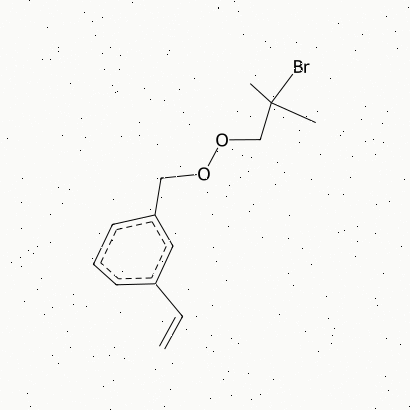 C=Cc1cccc(COOCC(C)(C)Br)c1